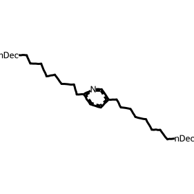 CCCCCCCCCCCCCCCCCCc1ccc(CCCCCCCCCCCCCCCCCC)nc1